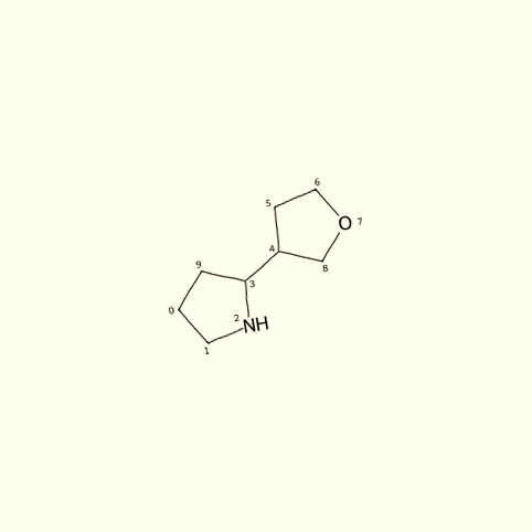 C1CNC(C2CCOC2)C1